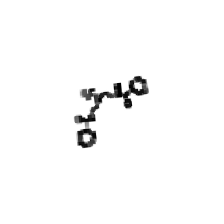 CN(CCNC(=O)c1ccccc1)CCOC(=O)c1ccccc1